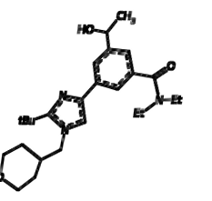 CCN(CC)C(=O)c1cc(-c2cn(CC3CCOCC3)c(C(C)(C)C)n2)cc(C(C)O)c1